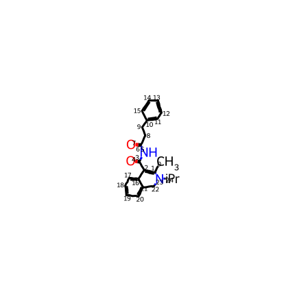 CC1=C(C(=O)NC(=O)CCc2ccccc2)c2ccccc2CN1C(C)C